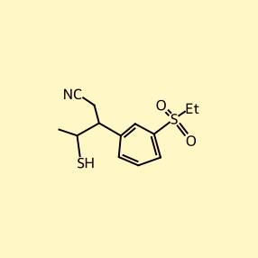 CCS(=O)(=O)c1cccc(C(CC#N)C(C)S)c1